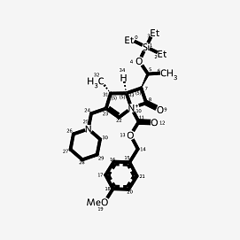 CC[Si](CC)(CC)OC(C)[C@H]1C(=O)[N+]2(C(=O)OCc3ccc(OC)cc3)C=C(CN3CCCCC3)[C@H](C)[C@@H]12